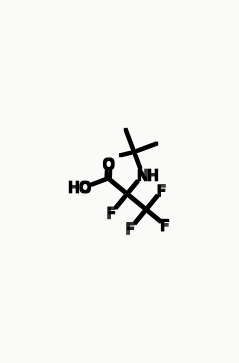 CC(C)(C)NC(F)(C(=O)O)C(F)(F)F